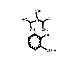 CCCCN(C(C)O)C(C)O.O=C(O)c1ccccc1O